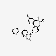 Cc1nc(N2CCCCC2)ccc1Nc1ncc2c(n1)-c1ccc(I)cc1NC(=S)C2